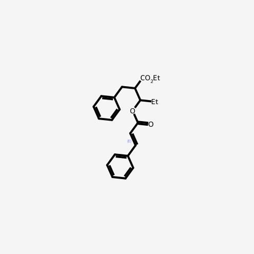 CCOC(=O)C(Cc1ccccc1)C(CC)OC(=O)/C=C/c1ccccc1